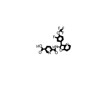 O=C(O)c1ccc(C(=O)N[C@@H]2Oc3cccnc3C2c2ccc(OC(F)(F)F)c(F)c2)nc1